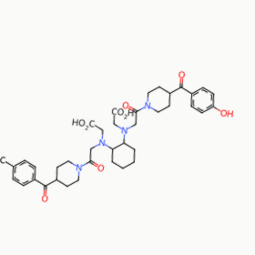 Cc1ccc(C(=O)C2CCN(C(=O)CN(CC(=O)O)C3CCCCC3N(CC(=O)O)CC(=O)N3CCC(C(=O)c4ccc(O)cc4)CC3)CC2)cc1